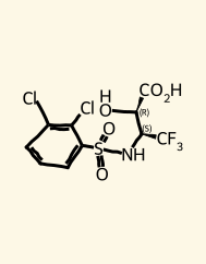 O=C(O)[C@H](O)[C@H](NS(=O)(=O)c1cccc(Cl)c1Cl)C(F)(F)F